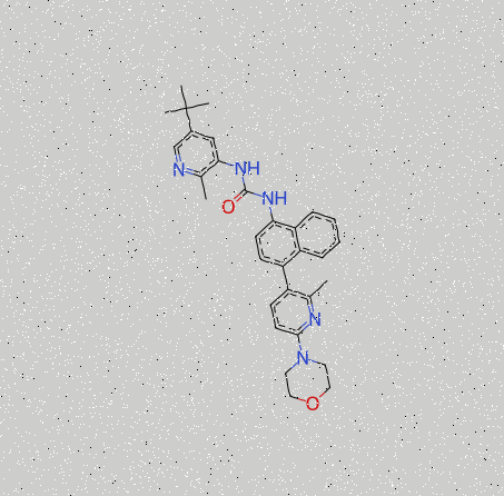 Cc1ncc(C(C)(C)C)cc1NC(=O)Nc1ccc(-c2ccc(N3CCOCC3)nc2C)c2ccccc12